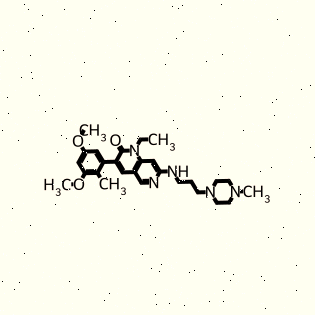 CCn1c(=O)c(-c2cc(OC)cc(OC)c2C)cc2cnc(NCCCN3CCN(C)CC3)cc21